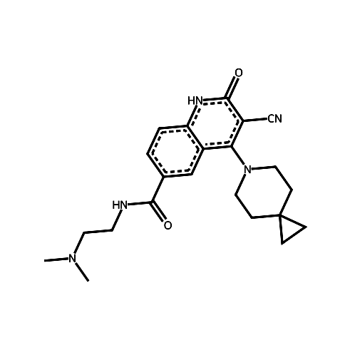 CN(C)CCNC(=O)c1ccc2[nH]c(=O)c(C#N)c(N3CCC4(CC3)CC4)c2c1